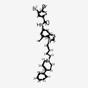 Cc1cc(NC(=O)c2cc(Br)c(Br)s2)cc2ncn(CCCCN3CC=C(c4ccccc4)CC3)c12